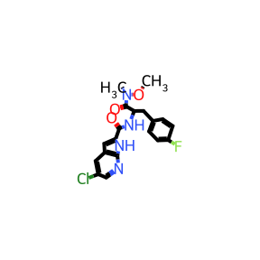 CON(C)C(=O)C(Cc1ccc(F)cc1)NC(=O)c1cc2cc(Cl)cnc2[nH]1